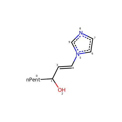 CCCCCC(O)C=Cn1ccnc1